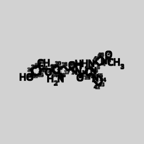 CC(=O)N1CCC(Nc2cc(C(=O)NC[C@@H](O)CCc3ccc(OCC4=CCC(O)=CC=C4C)cc3CN)cc(N3CCCCC3)n2)CC1